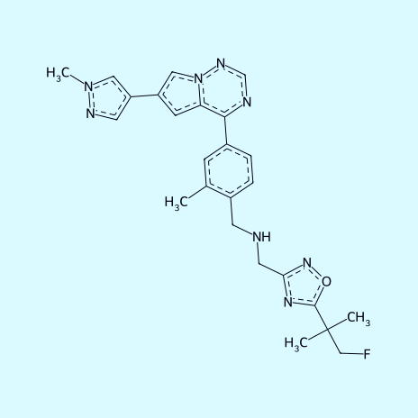 Cc1cc(-c2ncnn3cc(-c4cnn(C)c4)cc23)ccc1CNCc1noc(C(C)(C)CF)n1